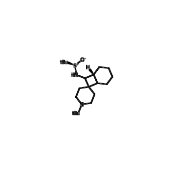 CC(C)(C)N1CCC2(CC1)C1CCCC[C@H]1C2N[S@+]([O-])C(C)(C)C